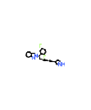 Fc1ccc(F)c(C(CC#CC#Cc2cc[nH]c2)n2cc3ccccc3n2)c1